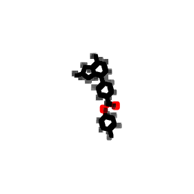 Cc1ccc(OC(=O)c2ccc(-c3ccc(C)c4c3CC(C)C4)cc2)cc1